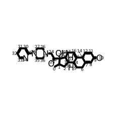 CC1C[C@H]2[C@@H]3CCC4=CC(=O)C=C[C@]4(C)C3=CC[C@]2(C)[C@@]1(O)C(=O)CN1CCN(c2ccccn2)CC1